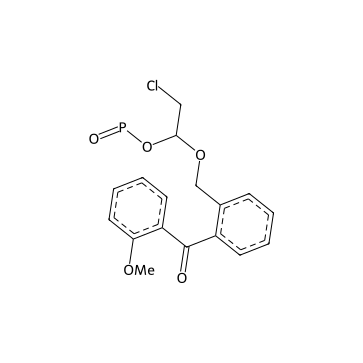 COc1ccccc1C(=O)c1ccccc1COC(CCl)OP=O